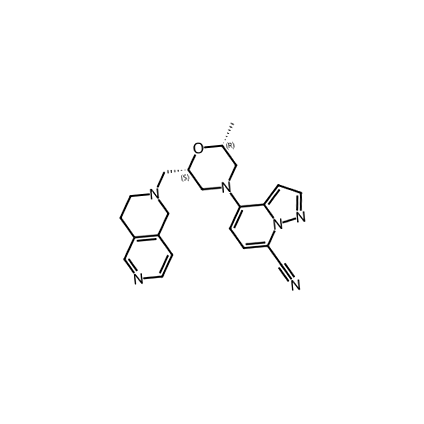 C[C@@H]1CN(c2ccc(C#N)n3nccc23)C[C@H](CN2CCc3cnccc3C2)O1